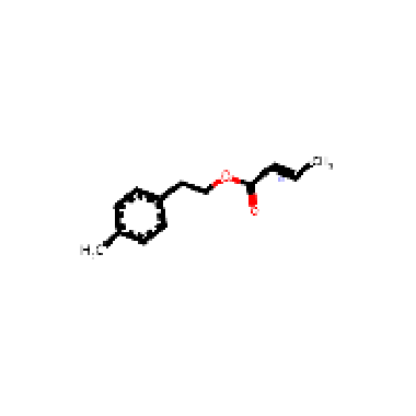 C/C=C/C(=O)OCCc1ccc(C)cc1